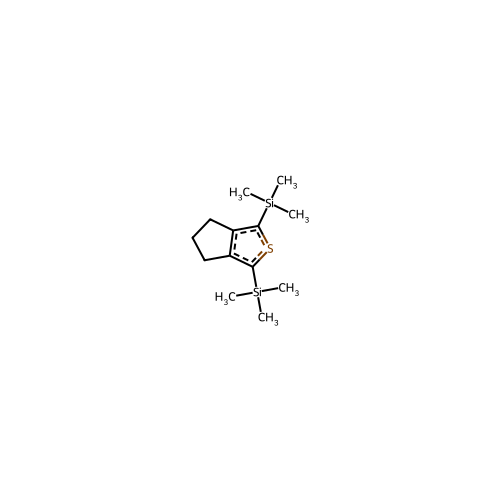 C[Si](C)(C)c1sc([Si](C)(C)C)c2c1CCC2